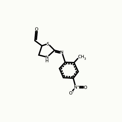 Cc1cc([N+](=O)[O-])ccc1N=C1NCC(C=O)S1